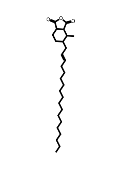 CCCCCCCCCCCCCCCC=CCC1CCC2C(=O)OC(=O)C2C1C